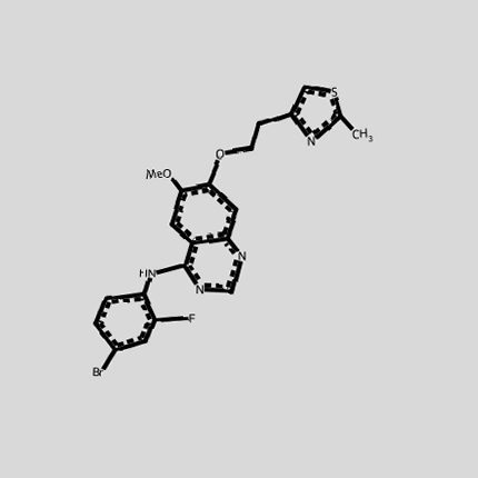 COc1cc2c(Nc3ccc(Br)cc3F)ncnc2cc1OCCc1csc(C)n1